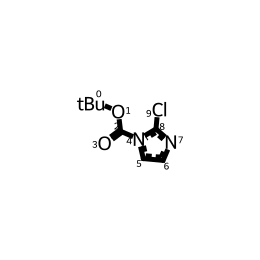 CC(C)(C)OC(=O)n1ccnc1Cl